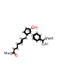 CCCCCC(OC(C)=O)c1ccc([C@@H]2[C@@H](CC=CCCCC(=O)OC)CC[C@@H]2O)cc1